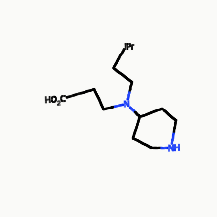 CC(C)CCN(CCC(=O)O)C1CCNCC1